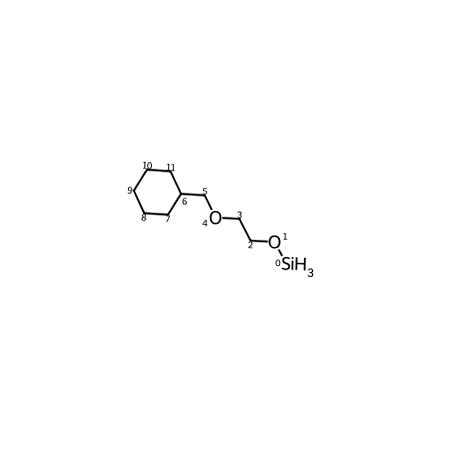 [SiH3]OCCOCC1CCCCC1